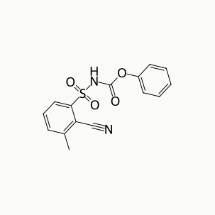 Cc1cccc(S(=O)(=O)NC(=O)Oc2ccccc2)c1C#N